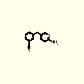 N#Cc1cccc(Cc2ccc(N)nc2)c1